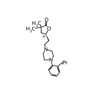 CC(C)c1ccccc1N1CCN(CC[C@H]2CC(C)(C)C(=O)O2)CC1